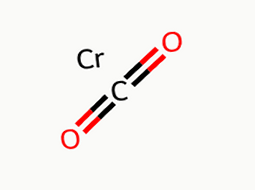 O=C=O.[Cr]